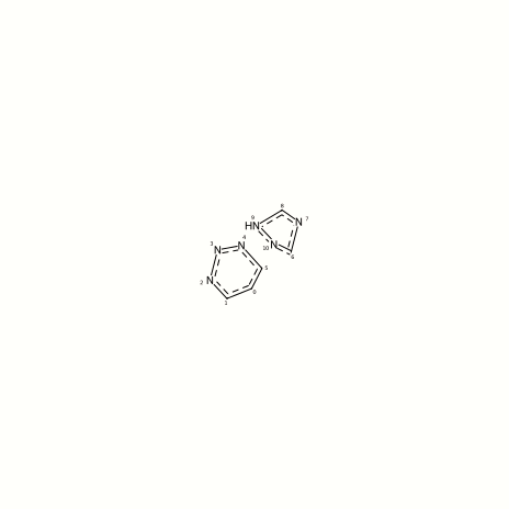 c1cnnnc1.c1nc[nH]n1